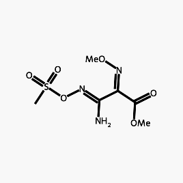 CON=C(C(=O)OC)C(N)=NOS(C)(=O)=O